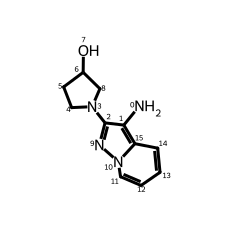 Nc1c(N2CCC(O)C2)nn2ccccc12